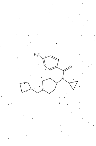 Cc1ccc(C(=O)N(C2CC2)C2CCN(CC3CCC3)CC2)cc1